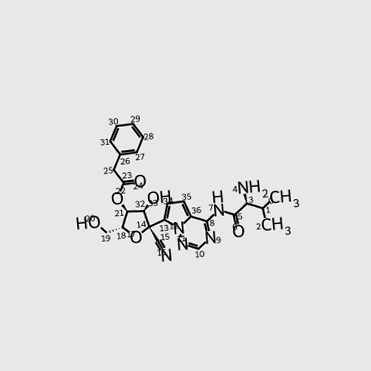 CC(C)[C@H](N)C(=O)Nc1ncnn2c([C@]3(C#N)O[C@H](CO)[C@@H](OC(=O)Cc4ccccc4)[C@H]3O)ccc12